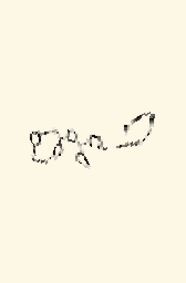 O=C(OCc1ccccc1)OC1COCCO1